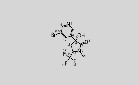 CN1C(=O)C(O)(c2cncc(Br)c2)CC1C(F)(F)F